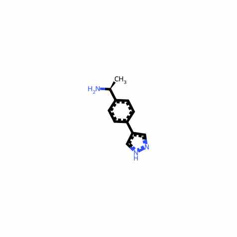 C[C@H](N)c1ccc(-c2cn[nH]c2)cc1